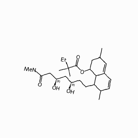 CCC(C)(C)C(=O)OC1CC(C)C=C2C=CC(C)C(CC[C@@H](O)C[C@@H](O)CC(=O)NC)C21